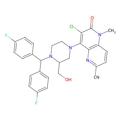 Cn1c(=O)c(Cl)c(N2CCN(C(c3ccc(F)cc3)c3ccc(F)cc3)C(CO)C2)c2nc(C#N)ccc21